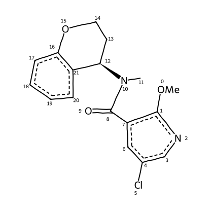 COc1ncc(Cl)cc1C(=O)N(C)[C@@H]1CCOc2ccccc21